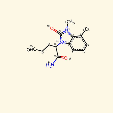 CCc1cccc2c1n(C)c(=O)n2C(CCC=O)C(N)=O